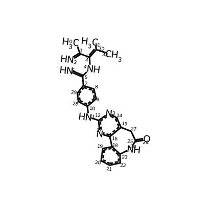 CC(=N)C(NC(=N)c1ccc(Nc2ncc3c(n2)-c2ccccc2NC(=O)C3)cc1)=C(C)C